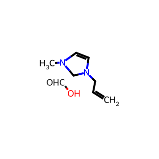 C=CCN1C=CN(C)C1.O=CO